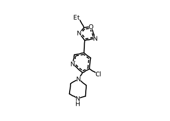 CCc1nc(-c2cnc(N3CCNCC3)c(Cl)c2)no1